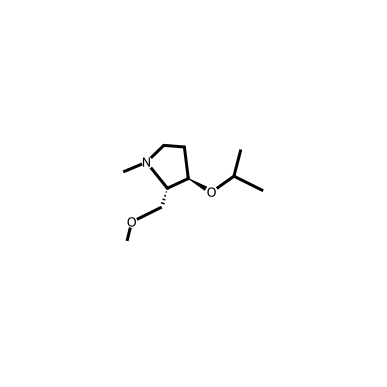 COC[C@H]1[C@H](OC(C)C)CCN1C